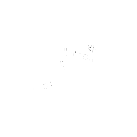 Cc1ccc(S(=O)(=O)OCCOCCOc2ccc(CN3CCN(C(=O)C=Cc4ccc(Cl)cc4Cn4nnc(C)n4)[C@H](C)C3)nc2)cc1